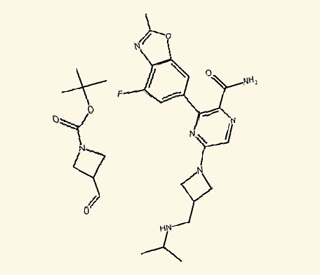 CC(C)(C)OC(=O)N1CC(C=O)C1.Cc1nc2c(F)cc(-c3nc(N4CC(CNC(C)C)C4)cnc3C(N)=O)cc2o1